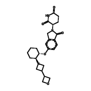 O=C1CCC(N2Cc3cc(O[C@H]4CCCC[C@@H]4N4CC(C5COC5)C4)ccc3C2=O)C(=O)N1